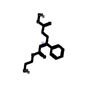 CCCOC(=O)/C=C(/CCC(=O)OC)c1ccccc1